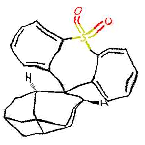 O=S1(=O)c2ccccc2C2(c3ccccc31)[C@H]1CC3CC(C[C@H]2C3)C1